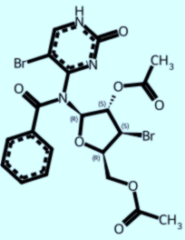 CC(=O)OC[C@H]1O[C@@H](N(C(=O)c2ccccc2)c2nc(=O)[nH]cc2Br)[C@H](OC(C)=O)[C@H]1Br